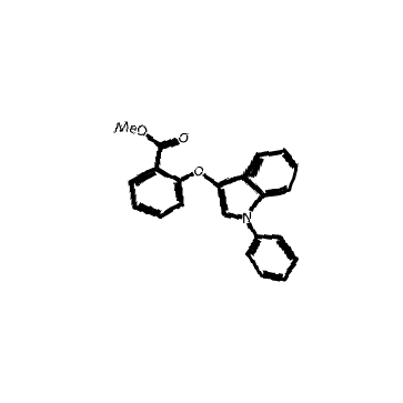 COC(=O)c1ccccc1Oc1cn(-c2ccccc2)c2ccccc12